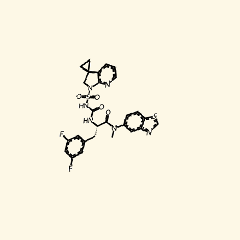 CN(C(=O)[C@H](Cc1cc(F)cc(F)c1)NC(=O)NS(=O)(=O)N1CC2(CC2)c2cccnc21)c1ccc2scnc2c1